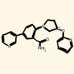 NC(=O)c1cc(-c2cccnc2)ccc1N1CC[C@@H](Oc2ccccn2)C1